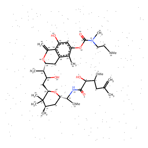 C=C(C)CC(OC)C(O)C(=O)NC(OC)[C@@H]1C[C@@H](C)C(C)(C)[C@@H](CC(O)C(C)[C@H]2Cc3c(C)c(OC(=O)N(C)CCNC)cc(O)c3C(=C)O2)O1